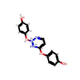 Oc1ccc(OC2=CC=NN(Oc3ccc(O)cc3)N2)cc1